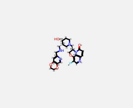 O=c1ccc2ncc(F)c3c2n1[C@H](CN1CC[C@@H](O)[C@@H](CNCc2cc4c(cn2)OCCO4)C1)CO3